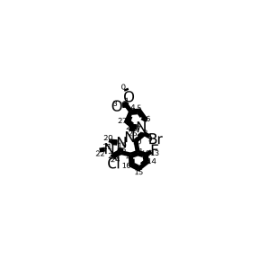 COC(=O)c1ccn2c(Br)c(-c3c(F)cccc3-c3ncn(C)c3Cl)nc2c1